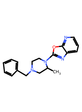 CC1CN(Cc2ccccc2)CCN1c1nc2cccnc2o1